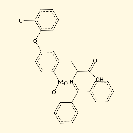 O=C(O)C(Cc1cc(Oc2ccccc2Cl)ccc1[N+](=O)[O-])N=C(c1ccccc1)c1ccccc1